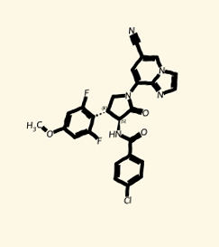 COc1cc(F)c([C@@H]2CN(c3cc(C#N)cn4ccnc34)C(=O)[C@H]2NC(=O)c2ccc(Cl)cc2)c(F)c1